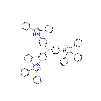 c1ccc(-c2cc(-c3ccccc3)n(-c3ccc(N(c4ccc(-n5nc(-c6ccccc6)c(-c6ccccc6)c5-c5ccccc5)cc4)c4ccc(-n5nc(-c6ccccc6)c(-c6ccccc6)c5-c5ccccc5)cc4)cc3)n2)cc1